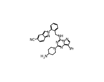 CC(C)c1cnn2c(NCc3ccccc3-n3cc4cc(C#N)ccc4n3)nc(N3CCC(N)CC3)nc12